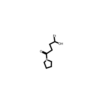 CCC(O)CCC(=O)N1CCCC1